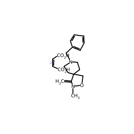 C=C1N(C)OCC12CCN(Cc1ccccc1)CC2.O=C(O)/C=C\C(=O)O